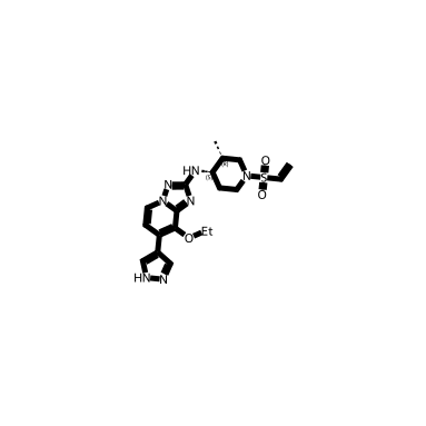 C=CS(=O)(=O)N1CC[C@H](Nc2nc3c(OCC)c(-c4cn[nH]c4)ccn3n2)[C@H](C)C1